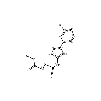 C=C(CNC(=O)OC(C)(C)C)Nc1nc(-c2cccc(Br)c2)cs1